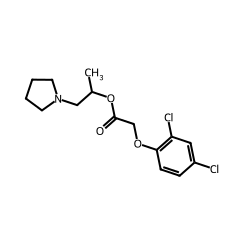 CC(CN1CCCC1)OC(=O)COc1ccc(Cl)cc1Cl